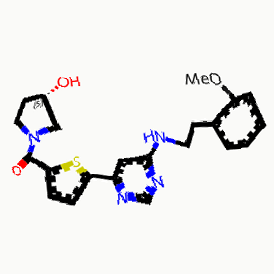 COc1ccccc1CCNc1cc(-c2ccc(C(=O)N3CC[C@H](O)C3)s2)ncn1